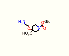 CC(C)(C)OC(=O)N1CCC(OCCN)(C(=O)O)CC1